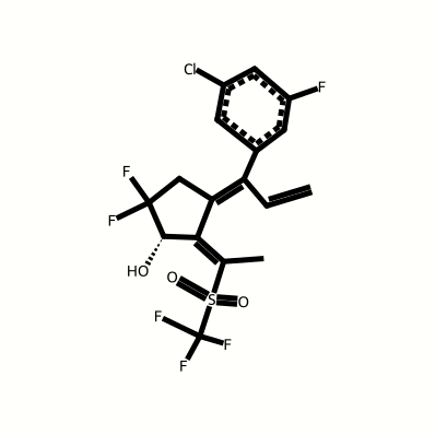 C=C/C(=C1/CC(F)(F)[C@@H](O)/C1=C(/C)S(=O)(=O)C(F)(F)F)c1cc(F)cc(Cl)c1